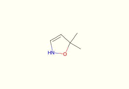 CC1(C)C=CNO1